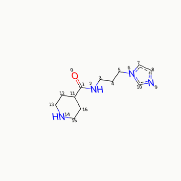 O=C(NCCCn1ccnc1)C1CCNCC1